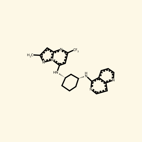 Cc1cc2nc(C(F)(F)F)cc(N[C@H]3CCC[C@@H](Nc4nccc5ncccc45)C3)n2n1